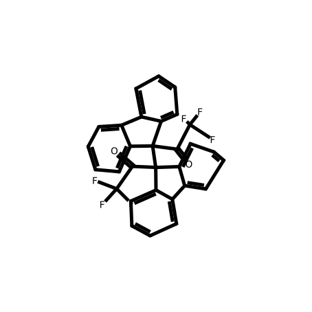 O=C(C(F)(F)F)C1(C2(C(=O)C(F)(F)F)c3ccccc3-c3ccccc32)c2ccccc2-c2ccccc21